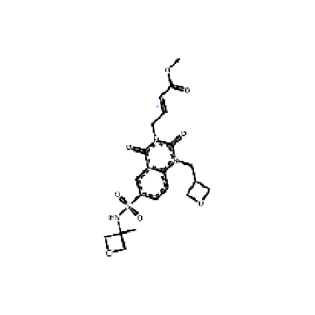 COC(=O)/C=C/Cn1c(=O)c2cc(S(=O)(=O)NC3(C)COC3)ccc2n(CC2COC2)c1=O